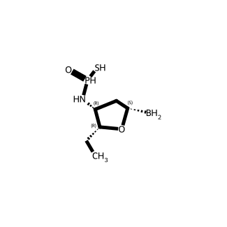 B[C@H]1C[C@@H](N[PH](=O)S)[C@@H](CC)O1